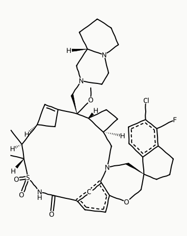 CO[C@@]1(CN2CCN3CCCC[C@H]3C2)C2=C[C@@H](C2)[C@H](C)[C@@H](C)S(=O)(=O)NC(=O)c2ccc3c(c2)N(C[C@@H]2CC[C@H]21)C[C@@]1(CCCc2c1ccc(Cl)c2F)CO3